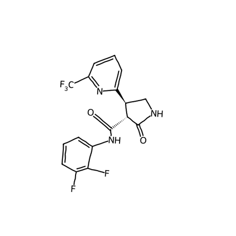 O=C1NC[C@H](c2cccc(C(F)(F)F)n2)[C@H]1C(=O)Nc1cccc(F)c1F